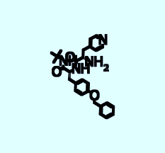 CC(C)(C)NC(=O)[C@H](Cc1ccc(OCc2ccccc2)cc1)NC(=O)[C@@H](N)Cc1ccncc1